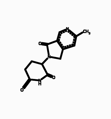 Cc1cc2c(cn1)C(=O)N(C1CCC(=O)NC1=O)C2